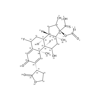 CCC(=O)O[C@]1(C(O)=S)C(C)C[C@H]2[C@@H]3CC(F)C4=CC(=O)C([C@@H]5CCOC5=O)=C[C@]4(C)[C@]3(F)C(O)C[C@@]21C